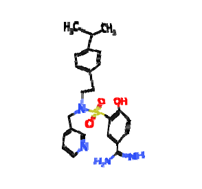 CC(C)c1ccc(CCN(Cc2cccnc2)S(=O)(=O)c2cc(C(=N)N)ccc2O)cc1